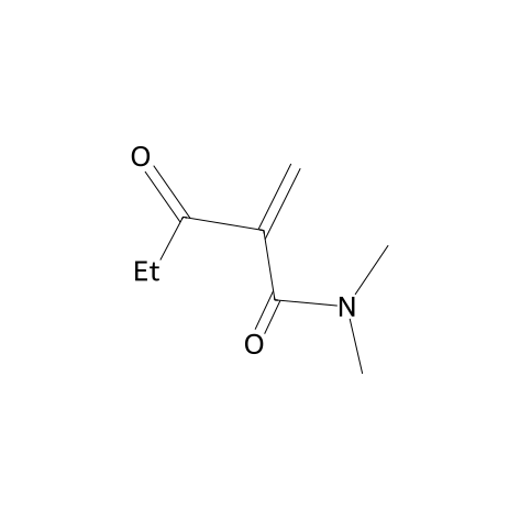 C=C(C(=O)CC)C(=O)N(C)C